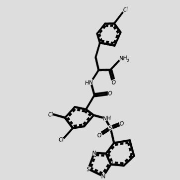 NC(=O)C(Cc1ccc(Cl)cc1)NC(=O)c1cc(Cl)c(Cl)cc1NS(=O)(=O)c1cccc2nsnc12